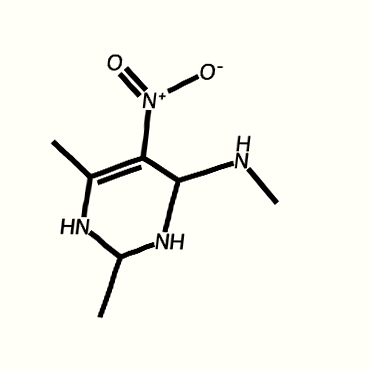 CNC1NC(C)NC(C)=C1[N+](=O)[O-]